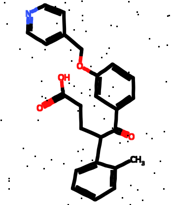 Cc1ccccc1C(CCC(=O)O)C(=O)c1cccc(OCc2ccncc2)c1